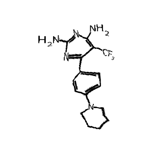 Nc1nc(N)c(C(F)(F)F)c(-c2ccc(N3CCCCC3)cc2)n1